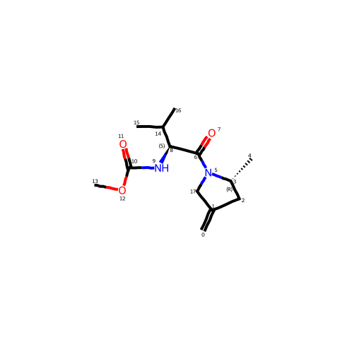 C=C1C[C@@H](C)N(C(=O)[C@@H](NC(=O)OC)C(C)C)C1